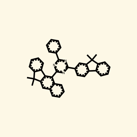 CC1(C)c2ccccc2-c2ccc(-c3nc(-c4ccccc4)nc(-c4c5c(cc6ccccc46)C(C)(C)c4ccccc4-5)n3)cc21